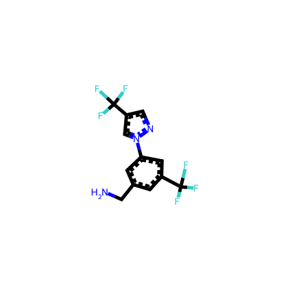 NCc1cc(-n2cc(C(F)(F)F)cn2)cc(C(F)(F)F)c1